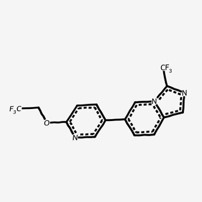 FC(F)(F)COc1ccc(-c2ccc3cnc(C(F)(F)F)n3c2)cn1